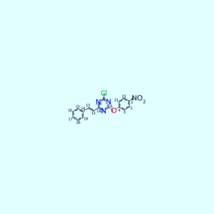 O=[N+]([O-])c1ccc(Oc2nc(Cl)nc(C=Cc3ccccc3)n2)cc1